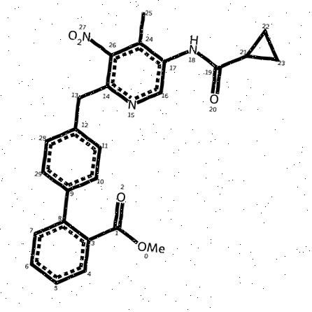 COC(=O)c1ccccc1-c1ccc(Cc2ncc(NC(=O)C3CC3)c(C)c2[N+](=O)[O-])cc1